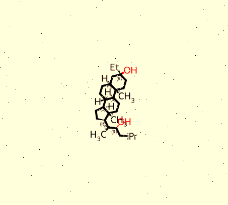 CC[C@@]1(O)CC[C@@]2(C)[C@H](CC[C@@H]3[C@@H]2CC[C@]2(C)[C@@H]([C@H](C)[C@H](O)CC(C)C)CC[C@@H]32)C1